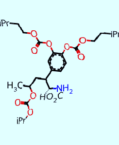 CC(C)CCOC(=O)Oc1ccc(C(CC(C)OC(=O)OC(C)C)[C@H](N)C(=O)O)cc1OC(=O)OCCC(C)C